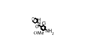 COc1cc(C(=O)NC2CCOCC2)c(Cl)cc1N